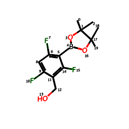 CC1(C)OB(c2c(F)cc(F)c(CO)c2F)OC1(C)C